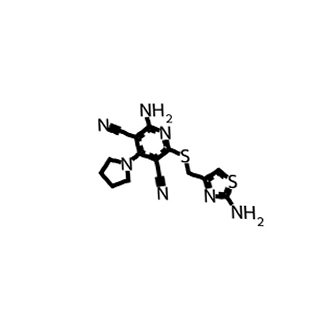 N#Cc1c(N)nc(SCc2csc(N)n2)c(C#N)c1N1CCCC1